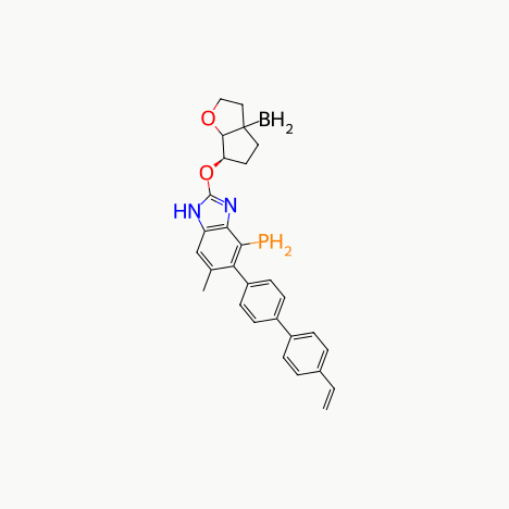 BC12CCOC1[C@H](Oc1nc3c(P)c(-c4ccc(-c5ccc(C=C)cc5)cc4)c(C)cc3[nH]1)CC2